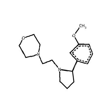 COc1cccc(C2CCCN2CCN2CCOCC2)c1